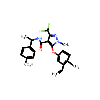 C=Cc1cc(Oc2c(C(=O)NC(C)c3ccc(C(=O)O)cc3)c(C(F)F)nn2C)ccc1C